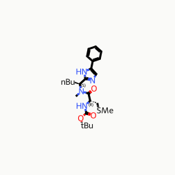 CCCC[C@@H](c1ncc(-c2ccccc2)[nH]1)N(C)C(=O)[C@H](CSC)NC(=O)OC(C)(C)C